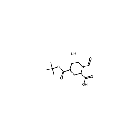 CC(C)(C)OC(=O)N1CCN(C=O)C(C(=O)O)C1.[LiH]